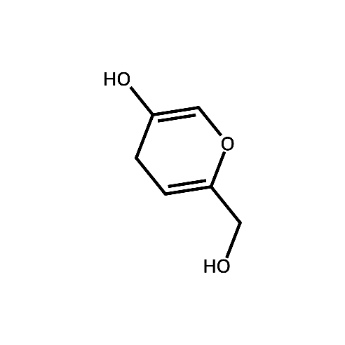 OCC1=CCC(O)=CO1